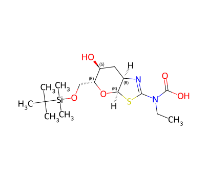 CCN(C(=O)O)C1=N[C@@H]2C[C@H](O)[C@@H](CO[Si](C)(C)C(C)(C)C)O[C@@H]2S1